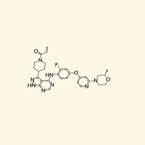 C=CC(=O)N1CCC(c2n[nH]c3ncnc(Nc4ccc(Oc5ccnc(N6CCO[C@H](C)C6)c5)cc4F)c23)CC1